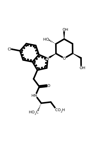 O=C(O)C[C@@H](NC(=O)Cc1cn([C@@H]2O[C@H](CO)C[C@H](O)[C@H]2O)c2ccc(Cl)cc12)C(=O)O